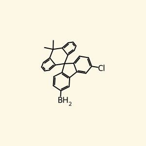 Bc1ccc2c(c1)-c1cc(Cl)ccc1C21c2ccccc2C(C)(C)c2ccccc21